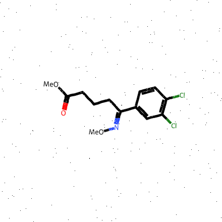 CON=C(CCCC(=O)OC)c1ccc(Cl)c(Cl)c1